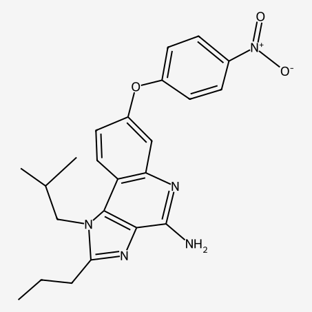 CCCc1nc2c(N)nc3cc(Oc4ccc([N+](=O)[O-])cc4)ccc3c2n1CC(C)C